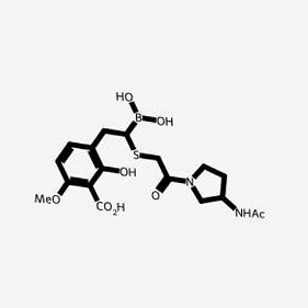 COc1ccc(CC(SCC(=O)N2CCC(NC(C)=O)C2)B(O)O)c(O)c1C(=O)O